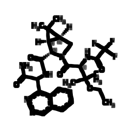 CCOC(C)(C)[C@H](NC(=O)C(F)(F)F)C(=O)N1C[C@H]2[C@@H]([C@H]1C(=O)NC(C(N)=O)c1nncc3ccccc13)C2(C)C